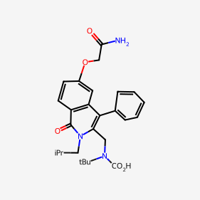 CC(C)Cn1c(CN(C(=O)O)C(C)(C)C)c(-c2ccccc2)c2cc(OCC(N)=O)ccc2c1=O